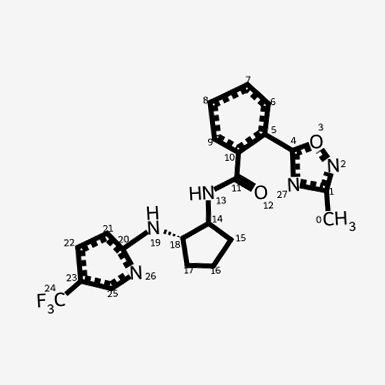 Cc1noc(-c2ccccc2C(=O)NC2CCC[C@@H]2Nc2ccc(C(F)(F)F)cn2)n1